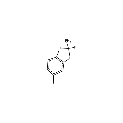 Cc1ccc2c(c1)OC(F)(P)O2